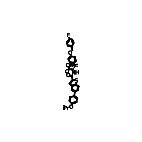 COC(=O)[C@H](Cc1ccc(OCc2ccc(F)cc2)cc1)NC(=O)c1cc2cc(-c3ccc(OC(C)C)cc3)ccc2s1